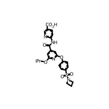 CC(C)Oc1cc(C(=O)Nc2ccc(C(=O)O)cn2)cc(Oc2ccc(S(=O)(=O)N3CCC3)cc2)n1